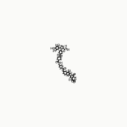 CCNC(=O)c1nnc(-c2cc(C(C)C)c(O)cc2O)n1-c1ccc(S(=O)(=O)N2CCC(C(=O)NCC3CCN(C(=O)Oc4ccc5nc6c(c(CC)c5c4)Cn4c-6cc5c(c4=O)COC(=O)C5(O)CC)CC3)CC2)cc1